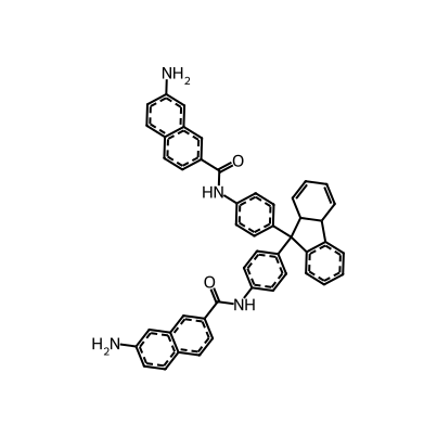 Nc1ccc2ccc(C(=O)Nc3ccc(C4(c5ccc(NC(=O)c6ccc7ccc(N)cc7c6)cc5)c5ccccc5C5C=CC=CC54)cc3)cc2c1